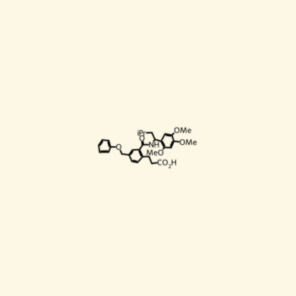 COc1cc(OC)c(C(CC(C)C)NC(=O)c2cc(COc3ccccc3)ccc2CCC(=O)O)cc1OC